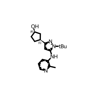 Cc1ncccc1Nc1cc([C@H]2CC[C@@H](O)C2)nn1C(C)(C)C